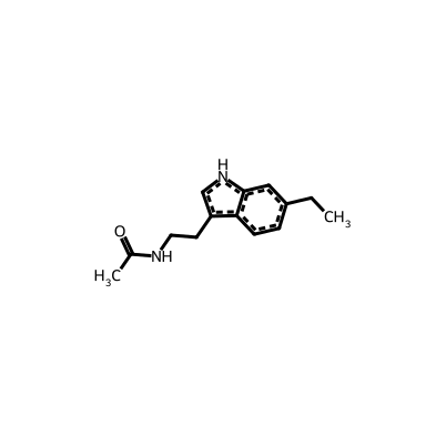 CCc1ccc2c(CCNC(C)=O)c[nH]c2c1